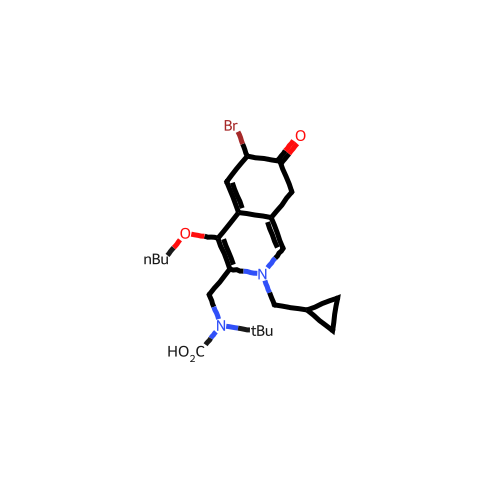 CCCCOC1=C(CN(C(=O)O)C(C)(C)C)N(CC2CC2)C=C2CC(=O)C(Br)C=C21